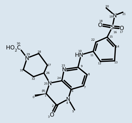 C[C@@H]1C(=O)N(C)c2ccc(Nc3cccc(S(=O)(=O)N(C)C)c3)nc2N1C1CCN(C(=O)O)CC1